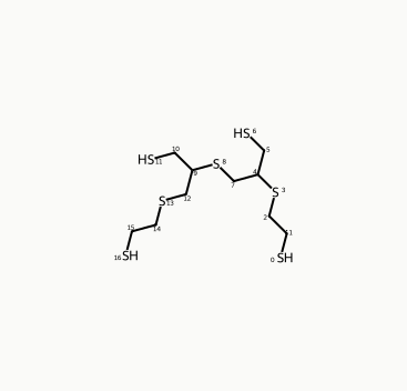 S[CH]CSC(CS)CSC(CS)CSCCS